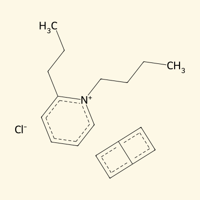 CCCC[n+]1ccccc1CCC.[Cl-].c1cc2ccc1-2